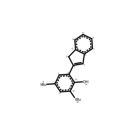 CC(C)(C)c1cc(C2=Cc3ccccc3C2)c(O)c(C(C)(C)C)c1